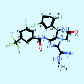 CNC(=N)c1nc(NC(=O)c2cc(F)cc(C(F)(F)F)c2)c2n1CC(=O)N[C@@H]2c1cc(F)ccc1Cl